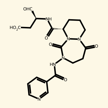 O=C[C@H](CC(=O)O)NC(=O)[C@@H]1CCCN2C(=O)CCN(NC(=O)c3cccnc3)C(=O)N12